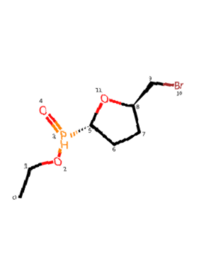 CCO[PH](=O)[C@H]1CC[C@H](CBr)O1